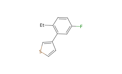 CCc1ccc(F)cc1-c1ccsc1